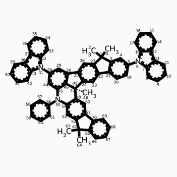 CC1(C)c2cc(-n3c4ccccc4c4ccccc43)ccc2-c2cc3c(cc21)-c1cc(-n2c4ccccc4c4ccccc42)cc2c1[C@]3(C)c1cc3c(cc1N2c1ccccc1)C(C)(C)c1ccccc1-3